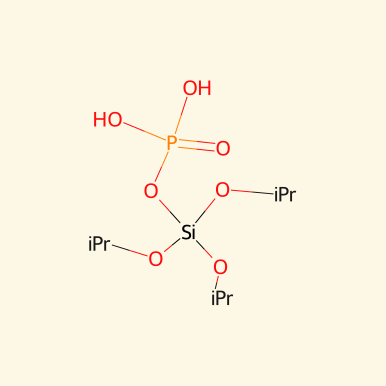 CC(C)O[Si](OC(C)C)(OC(C)C)OP(=O)(O)O